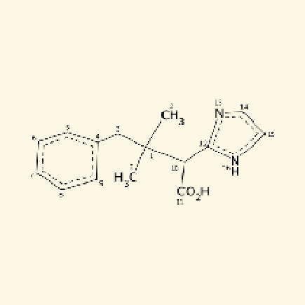 CC(C)(Cc1ccccc1)C(C(=O)O)c1ncc[nH]1